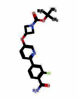 CC(C)(C)OC(=O)N1CC(Oc2ccc(-c3ccc(C(N)=O)c(F)c3)nc2)C1